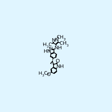 COc1ccc2c(c1)[C@]1(C[C@H]1c1ccc3c(Nc4c(C)nn(C)c4C)n[nH]c3c1)C(=O)N2